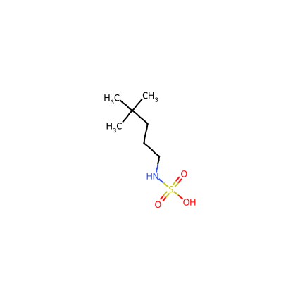 CC(C)(C)CCCNS(=O)(=O)O